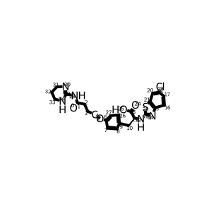 O=C(CCCOc1ccc(C[C@H](Nc2nc3ccc(Cl)cc3s2)C(=O)O)cc1)NC1=NCCCN1